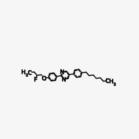 CCCCCCCc1ccc(-c2cnc(-c3ccc(OCC(F)CC)cc3)nc2)cc1